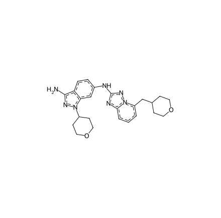 Nc1nn(C2CCOCC2)c2cc(Nc3nc4cccc(CC5CCOCC5)n4n3)ccc12